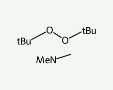 CC(C)(C)OOC(C)(C)C.CNC